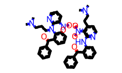 CN(C)CCCN(c1ccccc1C(=O)c1ccccc1)c1ncccc1[N+](=O)[O-].CN(C)CCc1ccnc(Nc2ccccc2C(=O)c2ccccc2)c1[N+](=O)[O-]